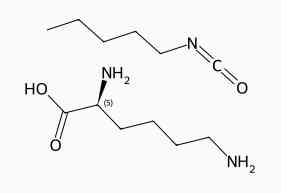 CCCCCN=C=O.NCCCC[C@H](N)C(=O)O